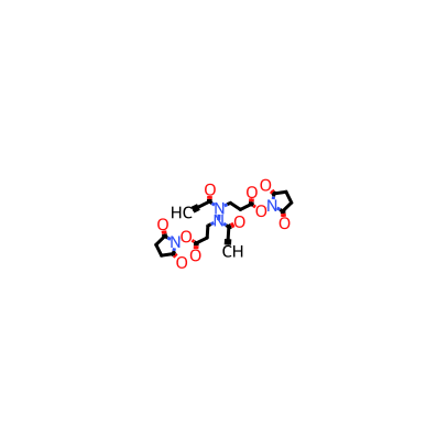 C#CC(=O)N(CCC(=O)ON1C(=O)CCC1=O)N(CCC(=O)ON1C(=O)CCC1=O)C(=O)C#C